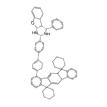 C1=CCC2C(=C1)OC1NC(c3ccc(C4=CC=C(c5cccc6c5C5=CC7C(C=C5C65CCCCC5)c5ccccc5C75CCCCC5)CC4)cc3)NC(c3ccccc3)C12